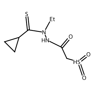 CCN(NC(=O)C[SH](=O)=O)C(=S)C1CC1